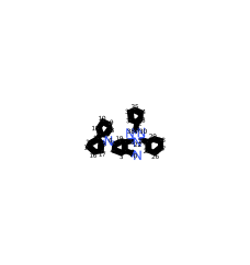 N#Cc1ccc(-n2c3ccccc3c3ccccc32)cc1-c1nc(-c2ccccc2)nc(-c2ccccc2)n1